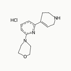 C1=C(c2cccc(N3CCOCC3)n2)CCNC1.Cl